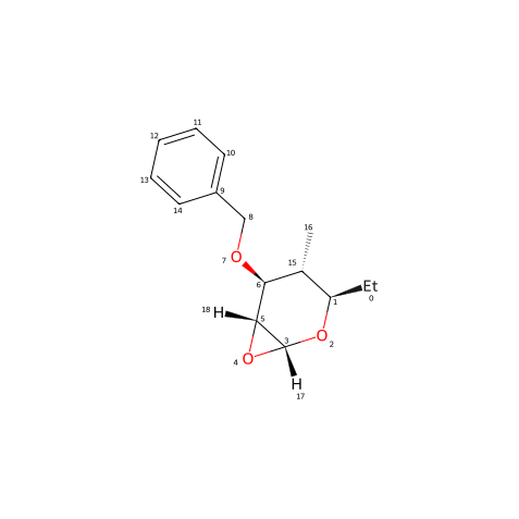 CC[C@H]1O[C@@H]2O[C@@H]2[C@@H](OCc2ccccc2)[C@@H]1C